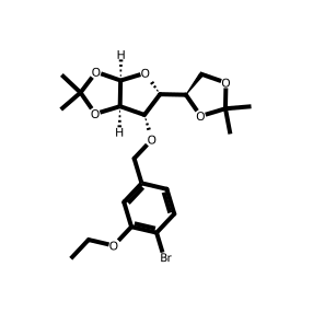 CCOc1cc(CO[C@@H]2[C@H]3OC(C)(C)O[C@H]3O[C@@H]2[C@H]2COC(C)(C)O2)ccc1Br